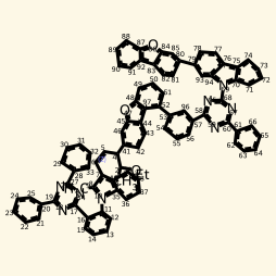 CCOC(C)C(/C=C\c1c(C)n(-c2ccccc2-c2nc(-c3ccccc3)nc(-c3ccccc3)n2)c2ccccc12)c1ccc2c(c1)oc1cccc(-c3cccc(-c4nc(-c5ccccc5)nc(-n5c6ccccc6c6ccc(-c7ccc8c(c7)oc7ccccc78)cc65)n4)c3)c12